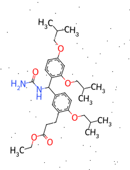 CCOC(=O)CCc1cc(C(NC(N)=O)c2ccc(OCC(C)C)cc2OCC(C)C)ccc1OCC(C)C